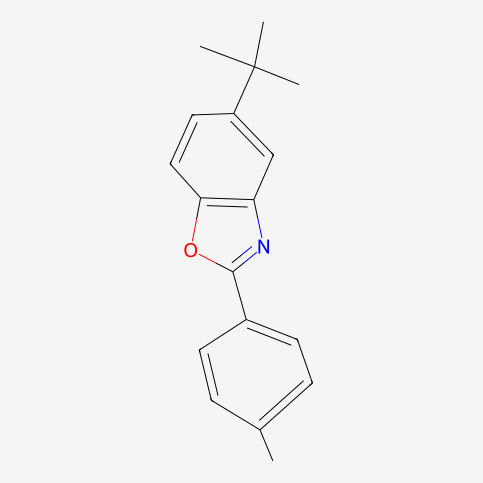 Cc1ccc(-c2nc3cc(C(C)(C)C)ccc3o2)cc1